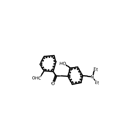 CCN(CC)c1ccc(C(=O)c2ccccc2C=O)c(O)c1